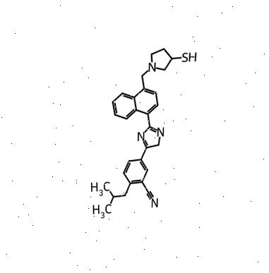 CC(C)Cc1ccc(C2=NC(c3ccc(CN4CCC(S)C4)c4ccccc34)=NC2)cc1C#N